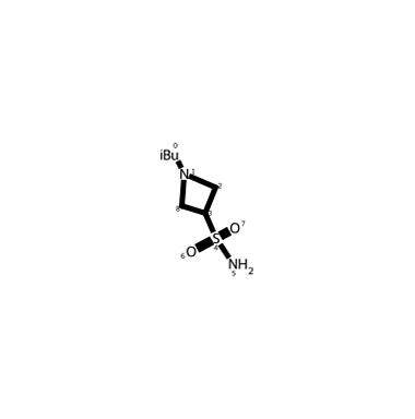 CCC(C)N1CC(S(N)(=O)=O)C1